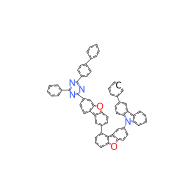 c1ccc(-c2ccc(-c3nc(-c4ccccc4)nc(-c4ccc5c(c4)oc4ccc(-c6cccc7oc8ccc(-n9c%10ccccc%10c%10cc(-c%11ccccc%11)ccc%109)cc8c67)cc45)n3)cc2)cc1